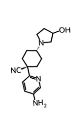 N#C[C@]1(c2ccc(N)cn2)CC[C@@H](N2CCC(O)C2)CC1